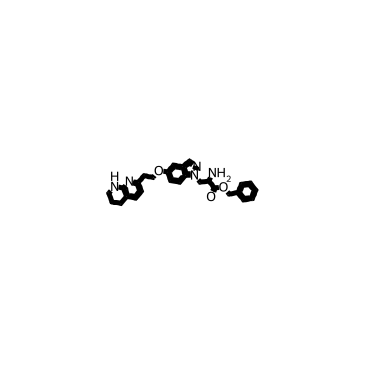 NC(Cn1ncc2cc(OCCc3ccc4c(n3)NCCC4)ccc21)C(=O)OCc1ccccc1